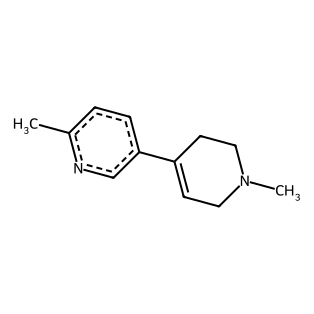 Cc1ccc(C2=CCN(C)CC2)cn1